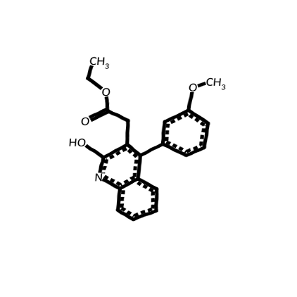 CCOC(=O)Cc1c(O)nc2ccccc2c1-c1cccc(OC)c1